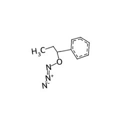 CCC(ON=[N+]=[N-])c1ccccc1